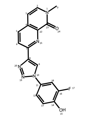 Cn1ccc2ccc(-c3cn(-c4ccc(O)c(F)c4)nn3)nc2c1=O